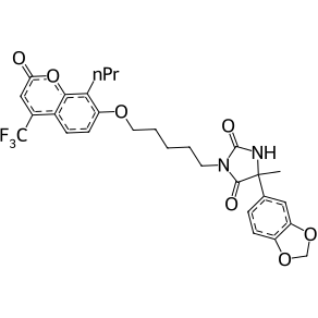 CCCc1c(OCCCCCN2C(=O)NC(C)(c3ccc4c(c3)OCO4)C2=O)ccc2c(C(F)(F)F)cc(=O)oc12